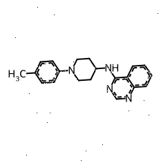 Cc1ccc(N2CCC(Nc3ncnc4ccccc34)CC2)cc1